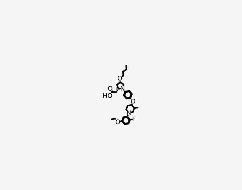 CCCCO[C@@H]1C[C@H](CC(=O)O)N(c2ccc(OC3CCN(c4cc(OCC)ccc4F)CC3C)cc2)C1